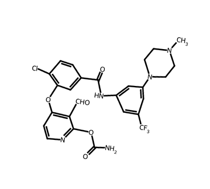 CN1CCN(c2cc(NC(=O)c3ccc(Cl)c(Oc4ccnc(OC(N)=O)c4C=O)c3)cc(C(F)(F)F)c2)CC1